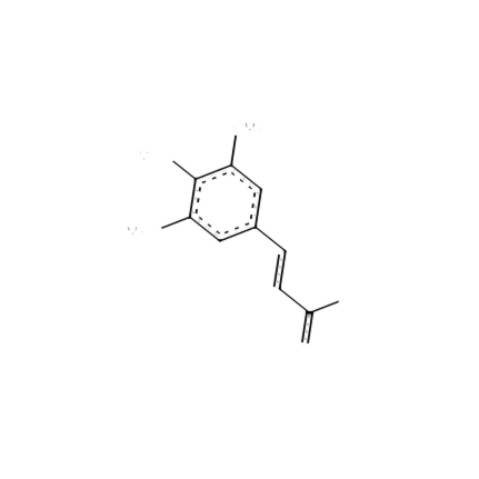 COc1cc(/C=C/C(=O)Cl)cc(OC)c1OC